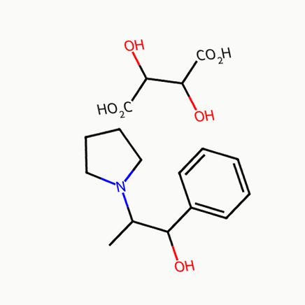 CC(C(O)c1ccccc1)N1CCCC1.O=C(O)C(O)C(O)C(=O)O